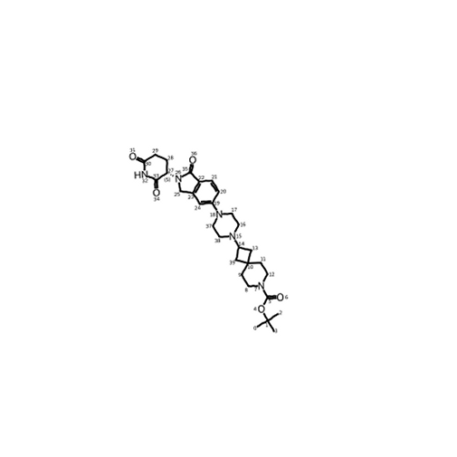 CC(C)(C)OC(=O)N1CCC2(CC1)CC(N1CCN(c3ccc4c(c3)CN([C@H]3CCC(=O)NC3=O)C4=O)CC1)C2